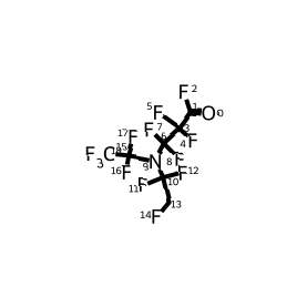 O=C(F)C(F)(F)C(F)(F)N(C(F)(F)CF)C(F)(F)C(F)(F)F